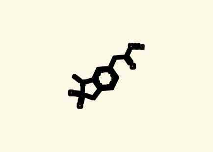 COC(=O)Cc1ccc2c(c1)N(C)S(=O)(=O)C2